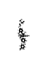 CCN(CC)CCOc1ccc2c(c1)CCN(S(=O)(=O)c1ccc(Oc3ccc(F)cc3)cc1)C2C(=O)NO